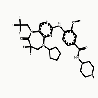 COc1cc(C(=O)NC2CCN(C)CC2)ccc1Nc1ncc2c(n1)N(C1CCCC1)CC(F)(F)C(=O)N2CC(F)(F)F